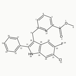 COC(=O)c1cccc(Cc2c(-c3ccccc3)[nH]c3cc(Cl)c(F)cc23)n1